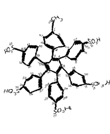 Cc1ccc(-c2c(-c3ccc(S(=O)(=O)O)cc3)c(-c3ccc(S(=O)(=O)O)cc3)c(-c3ccc(S(=O)(=O)O)cc3)c(-c3ccc(S(=O)(=O)O)cc3)c2-c2ccc(S(=O)(=O)O)cc2)cc1